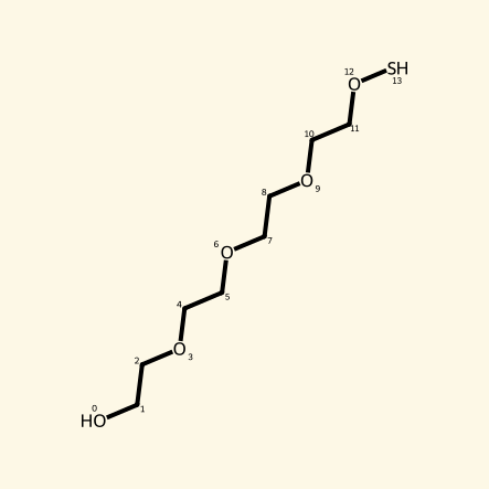 OCCOCCOCCOCCOS